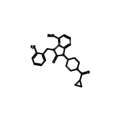 COc1cccc2c1n(Cc1ccccc1C(F)(F)F)c(=O)n2C1CCN(C(=O)C2CC2)CC1